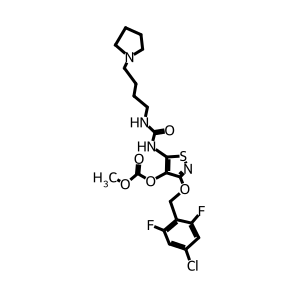 COC(=O)Oc1c(OCc2c(F)cc(Cl)cc2F)nsc1NC(=O)NCCCCN1CCCC1